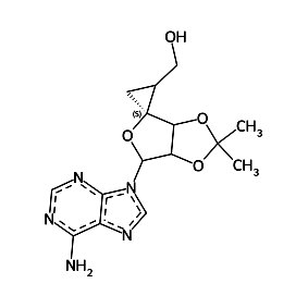 CC1(C)OC2C(n3cnc4c(N)ncnc43)O[C@]3(CC3CO)C2O1